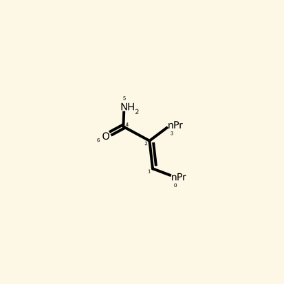 CCC/C=C(\CCC)C(N)=O